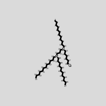 CCCCCCCCCCCCN(CCCCCC=O)CCCN(CCCCCCCCCCCC)CCCCCCCCCCCC